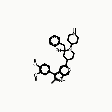 [2H]C1(Cc2ccccc2)CC(c2cc3c(-c4ccc(OC)c(OC)c4)c(C)[nH]c3cn2)CCN1C1CCNCC1